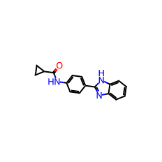 O=C(Nc1ccc(-c2nc3ccccc3[nH]2)cc1)C1CC1